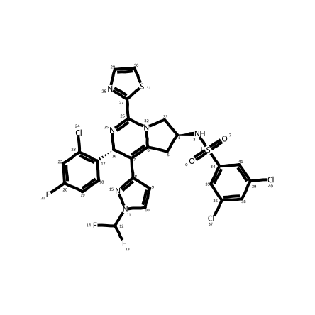 O=S(=O)(N[C@H]1CC2=C(c3ccn(C(F)F)n3)[C@H](c3ccc(F)cc3Cl)N=C(c3nccs3)N2C1)c1cc(Cl)cc(Cl)c1